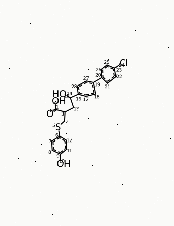 O=C(O)C(CSc1ccc(O)cc1)CC(O)c1ccc(-c2ccc(Cl)cc2)cc1